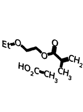 C=C(C)C(=O)OCCOCC.CC(=O)O